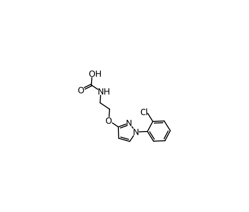 O=C(O)NCCOc1ccn(-c2ccccc2Cl)n1